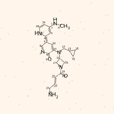 CNC1=CC(=C2C=NC(=O)C(N(CC3CC3)C3CN(C(=O)C=CCN)C3)=C2)NC=C1